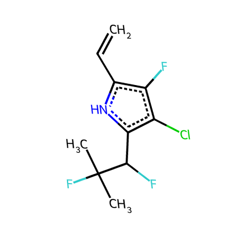 C=Cc1[nH]c(C(F)C(C)(C)F)c(Cl)c1F